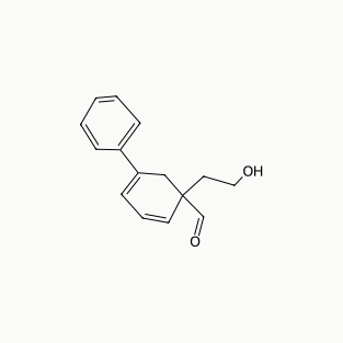 O=CC1(CCO)C=CC=C(c2ccccc2)C1